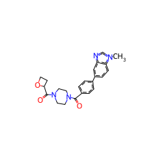 Cn1cnc2cc(-c3ccc(C(=O)N4CCN(C(=O)C5CCO5)CC4)cc3)ccc21